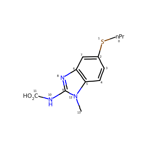 CCCSc1ccc2c(c1)nc(NC(=O)O)n2C